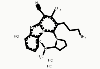 Cc1c(CCCN)c(N2CCCC2N(C)C)n2c(nc3ccccc32)c1C#N.Cl.Cl.Cl